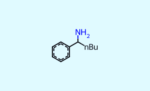 [CH2]CCCC(N)c1ccccc1